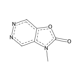 Cn1c(=O)oc2cnncc21